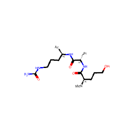 CN[C@H](CCCO)C(=O)N[C@H](C(=O)N[C@@H](CCCNC(N)=O)C(C)=O)C(C)C